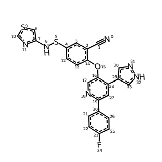 N#Cc1cc(SNc2cscn2)ccc1Oc1cnc(-c2ccc(F)cc2)cc1-c1cn[nH]c1